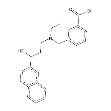 CCN(CCC(O)c1ccc2ccccc2c1)Cc1cccc(C(=O)O)c1